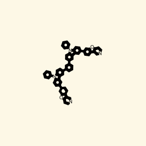 C1=CC(c2ccc3c(c2)c2cc(-c4cccc(-c5ccc6c(c5)c5cc(-c7ccc8c(c7)oc7ccncc78)ccc5n6-c5ccccc5)c4)ccc2n3-c2ccccc2)Cc2oc3ccncc3c21